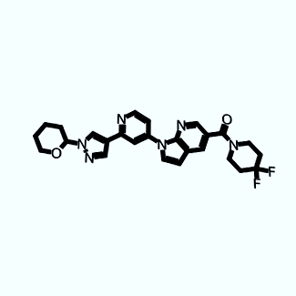 O=C(c1cnc2c(ccn2-c2ccnc(-c3cnn(C4CCCCO4)c3)c2)c1)N1CCC(F)(F)CC1